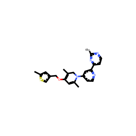 CC1=CC(OCc2csc(C)c2)=C(C)CN1c1ccnc(-c2ccnc(C(C)(C)C)n2)c1